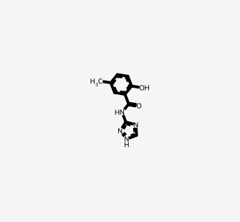 Cc1ccc(O)c(C(=O)Nc2nc[nH]n2)c1